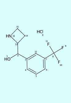 Cl.OC(c1cccc(C(F)(F)F)c1)C1CCN1